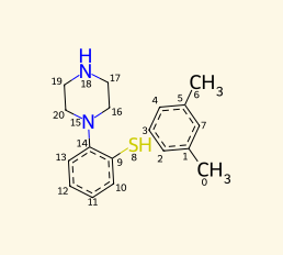 Cc1cccc(C)c1.Sc1ccccc1N1CCNCC1